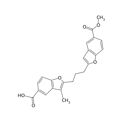 COC(=O)c1ccc2oc(CCCc3oc4ccc(C(=O)O)cc4c3C)cc2c1